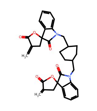 C=C1CC2(OC1=O)C(=O)N(CC1CCC(CN3C(=O)C4(CC(=C)C(=O)O4)c4ccccc43)CC1)c1ccccc12